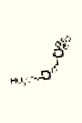 CS(=O)(=O)Oc1ccc(CCOc2ccc(CCC(=O)O)cc2)cc1